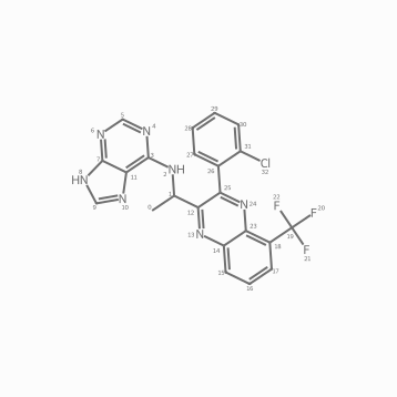 CC(Nc1ncnc2[nH]cnc12)c1nc2cccc(C(F)(F)F)c2nc1-c1ccccc1Cl